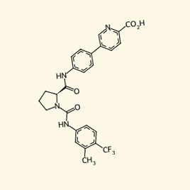 Cc1cc(NC(=O)N2CCC[C@H]2C(=O)Nc2ccc(-c3ccc(C(=O)O)nc3)cc2)ccc1C(F)(F)F